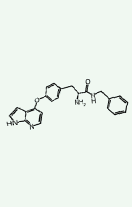 N[C@@H](Cc1ccc(Oc2ccnc3[nH]ccc23)cc1)C(=O)NCc1ccccc1